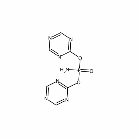 NP(=O)(Oc1ncncn1)Oc1ncncn1